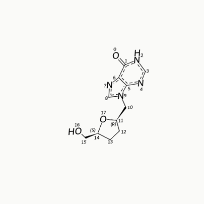 O=c1[nH]cnc2c1ncn2C[C@H]1CC[C@@H](CO)O1